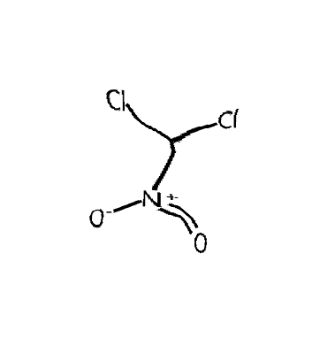 O=[N+]([O-])C(Cl)Cl